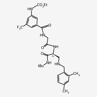 CCOC(=O)Nc1cc(C(=O)NCC(=O)N[C@@H](CNCc2ccc(C)cc2C)C(=O)NC(C)(C)C)cc(C(F)(F)F)c1